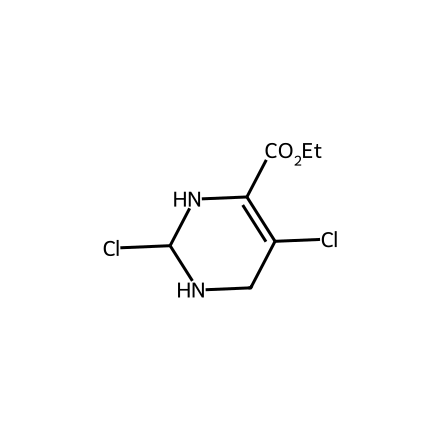 CCOC(=O)C1=C(Cl)CNC(Cl)N1